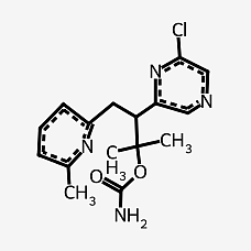 Cc1cccc(CC(c2cncc(Cl)n2)C(C)(C)OC(N)=O)n1